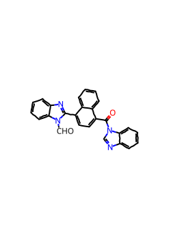 O=Cn1c(-c2ccc(C(=O)n3cnc4ccccc43)c3ccccc23)nc2ccccc21